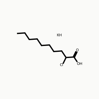 CCCCCCCCC(Cl)C(=O)O.[KH]